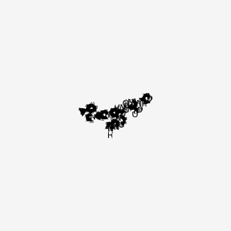 O=C(NS(=O)(=O)c1cc([N+](=O)[O-])c(NCC2CCOCC2)cn1)c1ccc(N2CCC3(CC2)CC(N2CCC[C@H]2c2ccccc2C2CC2)C3)cc1N1CCCOc2nc3[nH]ccc3cc21